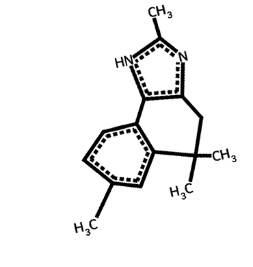 Cc1ccc2c(c1)C(C)(C)Cc1nc(C)[nH]c1-2